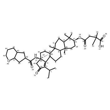 CC(C)C1=C2C3CCC4C(C)(CCC5C(C)(C)[C@@H](OC(=O)CC(C)(C)C(=O)O)CC[C@@]54C)[C@]3(C)CC[C@@]2(NC(=O)C2CC3CCCOC3C2)CC1=O